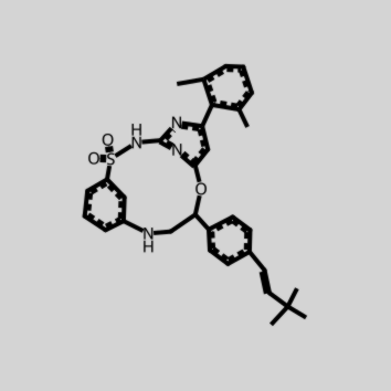 Cc1cccc(C)c1-c1cc2nc(n1)NS(=O)(=O)c1cccc(c1)NCC(c1ccc(/C=C/C(C)(C)C)cc1)O2